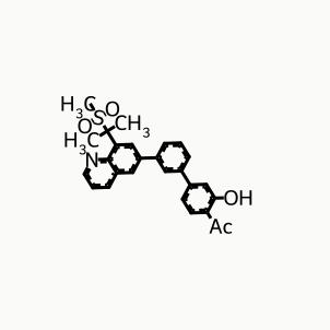 CC(=O)c1ccc(-c2cccc(-c3cc(C(C)(C)S(C)(=O)=O)c4ncccc4c3)c2)cc1O